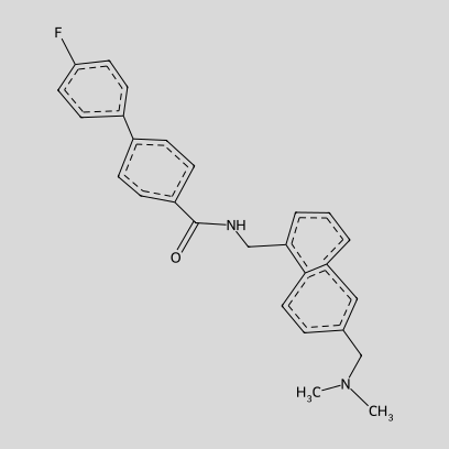 CN(C)Cc1ccc2c(CNC(=O)c3ccc(-c4ccc(F)cc4)cc3)cccc2c1